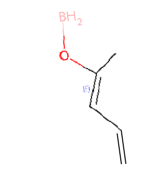 BO/C(C)=C/C=C